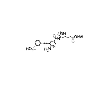 COC(=O)CCCC[SH](C)(O)=NC(=O)c1cnc(N)c(C#Cc2cccc(C(=O)O)c2)c1